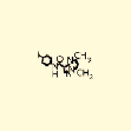 Cc1cc(C)n2ncc(C(=O)Nc3ccc(I)cc3)c2n1